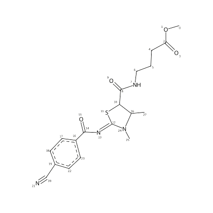 COC(=O)CCCNC(=O)C1SC(=NC(=O)c2ccc(C#N)cc2)N(C)C1C